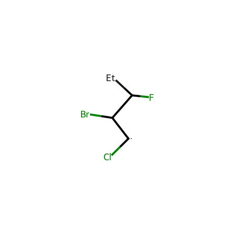 CCC(F)C(Br)[CH]Cl